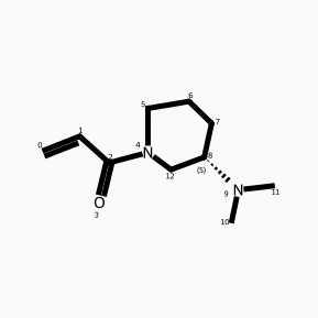 C=CC(=O)N1CCC[C@H](N(C)C)C1